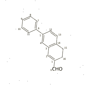 O=CC1=Cc2cc(-c3ccccc3)ccc2CC1